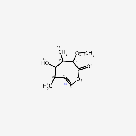 COC1C(=O)O/C=C/C(C)C(O)C1C